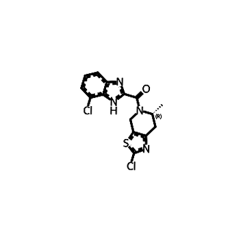 C[C@@H]1Cc2nc(Cl)sc2CN1C(=O)c1nc2cccc(Cl)c2[nH]1